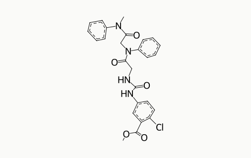 COC(=O)c1cc(NC(=O)NCC(=O)N(CC(=O)N(C)c2ccccc2)c2ccccc2)ccc1Cl